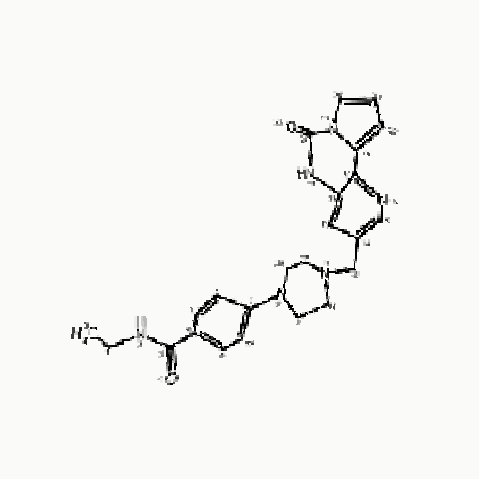 CCNC(=O)c1ccc(N2CCN(Cc3cnc4c(c3)[nH]c(=O)n3cccc43)CC2)cc1